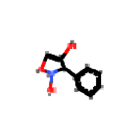 OC1=CON(O)C1c1ccccc1